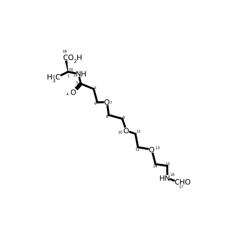 C[C@H](NC(=O)CCOCCOCCOCCNC=O)C(=O)O